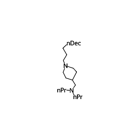 CCCCCCCCCCCCCN1CCC(CN(CCC)CCC)CC1